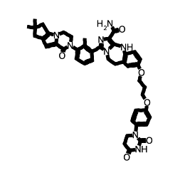 Cc1c(-c2nc(C(N)=O)c3n2CCc2cc(OCCCOc4ccc(N5CCC(=O)NC5=O)cc4)ccc2N3)cccc1N1CCn2c(cc3c2CC(C)(C)C3)C1=O